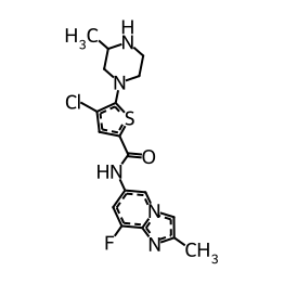 Cc1cn2cc(NC(=O)c3cc(Cl)c(N4CCNC(C)C4)s3)cc(F)c2n1